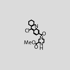 COC(=O)C1CN(C(=O)c2ccc3c(Cl)c4c(nc3c2)CCCC4)CCN1